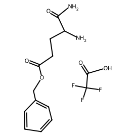 NC(=O)C(N)CCC(=O)OCc1ccccc1.O=C(O)C(F)(F)F